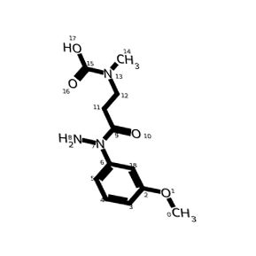 COc1cccc(N(N)C(=O)CCN(C)C(=O)O)c1